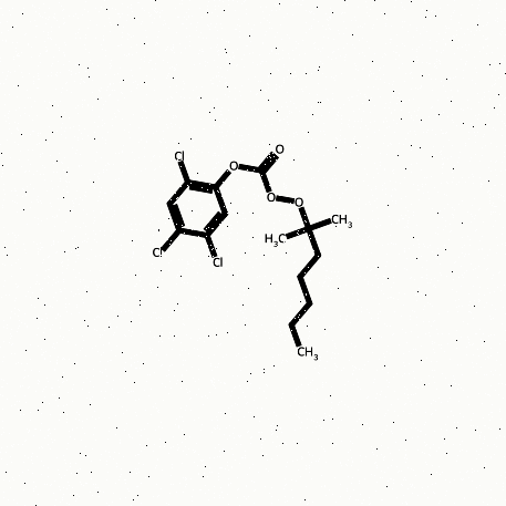 CCCCCC(C)(C)OOC(=O)Oc1cc(Cl)c(Cl)cc1Cl